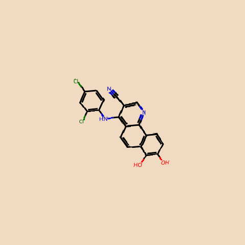 N#Cc1cnc2c(ccc3c(O)c(O)ccc32)c1Nc1ccc(Cl)cc1Cl